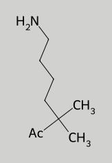 CC(=O)C(C)(C)CCCCN